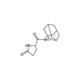 O=C1CCC(C(=O)NC23CC4CC(CC(C4)C2)C3)N1